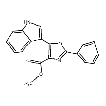 COC(=O)c1nc(-c2ccccc2)oc1-c1c[nH]c2ccccc12